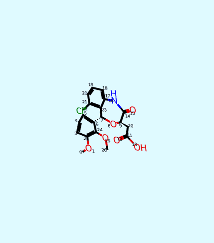 COc1cccc([C@H]2O[C@H](CC(=O)O)C(=O)Nc3cccc(Cl)c32)c1OC